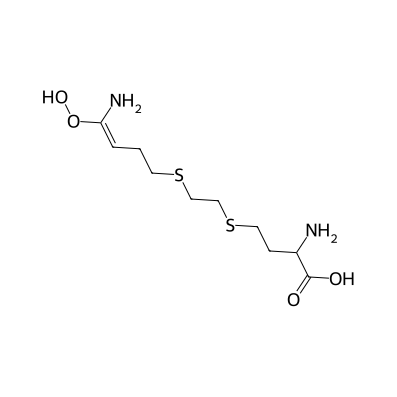 N/C(=C\CCSCCSCCC(N)C(=O)O)OO